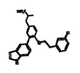 CC(Cc1ccc(OCCc2cccc(Cl)c2)c(-c2ccc3[nH]ccc3c2)c1)C(=O)O